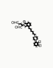 O=CCCC(C=O)N1Cc2c(CCCCCCN3CCN(c4cccc(Cl)c4Cl)CC3)cccc2C1=O